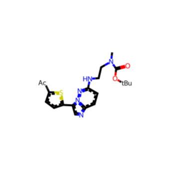 CC(=O)c1ccc(-c2cnc3ccc(NCCN(C)C(=O)OC(C)(C)C)nn23)s1